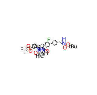 COc1cc(F)c(-c2ccc(CCNC(=O)OC(C)(C)C)cc2)cc1C(=O)N[C@@H]1[C@H]2CC[C@H](C2)[C@@H]1C(=O)Nc1cccc(S(=O)(=O)C(F)(F)F)c1